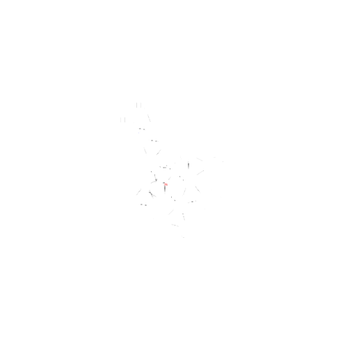 Bc1cc(B)c2c(c1)c1c(B)c(B)c3c4cc(B)cc(B)c4n(-c4nc(-c5ccccc5)nc(-c5ccc(C(/C=C\C)=C/C)cc5)n4)c3c1n2-c1ccccc1